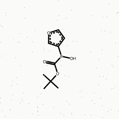 CC(C)(C)OC(=O)B(O)c1ccoc1